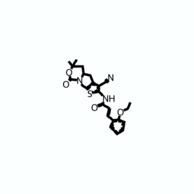 CCOc1ccccc1/C=C/C(=O)Nc1sc2c(c1C#N)CC1CC(C)(C)OC(=O)N1C2